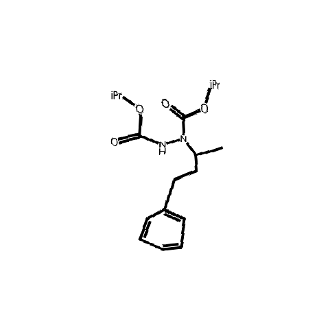 CC(C)OC(=O)NN(C(=O)OC(C)C)C(C)CCc1ccccc1